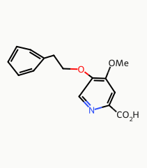 COc1cc(C(=O)O)ncc1OCCc1ccccc1